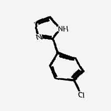 Clc1ccc(-c2n[c]c[nH]2)cc1